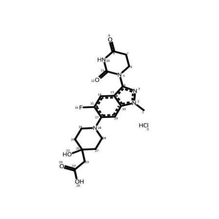 Cl.Cn1nc(N2CCC(=O)NC2=O)c2cc(F)c(N3CCC(O)(CC(=O)O)CC3)cc21